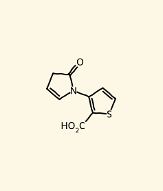 O=C(O)c1sccc1N1C=CCC1=O